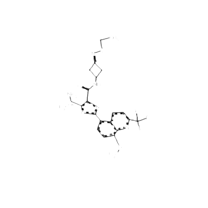 CCON=C1CC(NC(=O)c2nc(-c3ccc(OC)c4nc(C(F)(F)F)ccc34)oc2[C@H](C)N)C1